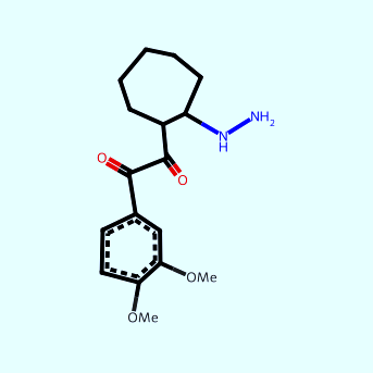 COc1ccc(C(=O)C(=O)C2CCCCCC2NN)cc1OC